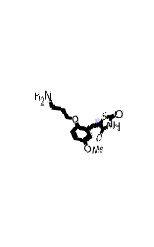 COc1ccc(OCCCN)c(/C=C2/SC(=O)NC2=O)c1